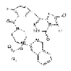 O=C(c1cc(Cc2n[nH]c(=O)n3c(Cl)c(Cl)nc23)ccc1F)N1CC[N+](OC(=O)C(F)(F)F)(c2cc3ccccc3cn2)CC1